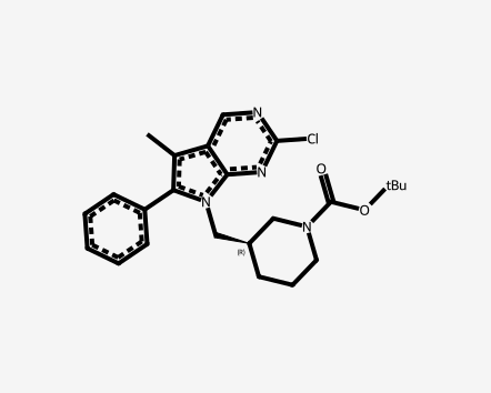 Cc1c(-c2ccccc2)n(C[C@@H]2CCCN(C(=O)OC(C)(C)C)C2)c2nc(Cl)ncc12